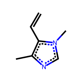 C=Cc1c(C)ncn1C